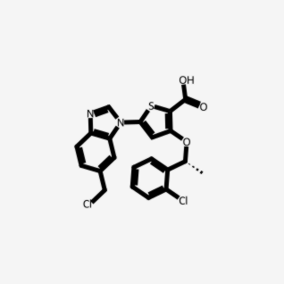 C[C@@H](Oc1cc(-n2cnc3ccc(CCl)cc32)sc1C(=O)O)c1ccccc1Cl